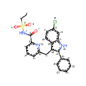 CCS(=O)(=O)NC(=O)c1cccc(Cc2c(-c3ccccc3)[nH]c3cc(Cl)ccc23)n1